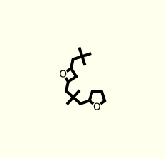 CC(C)(C)CC1CC(CC(C)(C)CC2CCCO2)O1